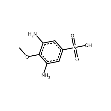 COc1c(N)cc(S(=O)(=O)O)cc1N